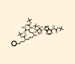 CC(C)(C)OC(=O)Nc1ncnc2c1ncn2[C@@H]1O[C@H](CN(CCCN(CCCc2ccccc2)C(=O)OC(C)(C)C)CCC(NC(=O)OC(C)(C)C)C(=O)O)[C@H]2OC(C)(C)O[C@H]21